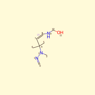 C=NN(C)C(C)(C)/C=C\NCO